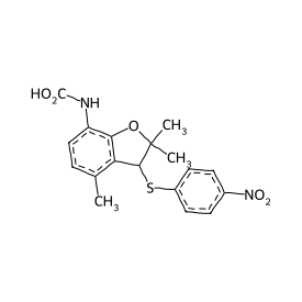 Cc1ccc(NC(=O)O)c2c1C(Sc1ccc([N+](=O)[O-])cc1)C(C)(C)O2